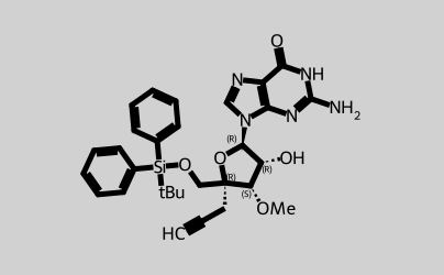 C#CC[C@]1(CO[Si](c2ccccc2)(c2ccccc2)C(C)(C)C)O[C@@H](n2cnc3c(=O)[nH]c(N)nc32)[C@H](O)[C@@H]1OC